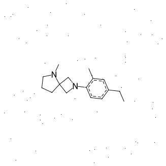 CCc1ccc(N2CC3(CCCN3C)C2)c(C)c1